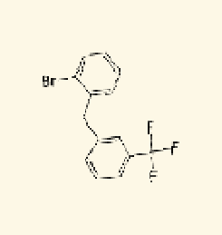 FC(F)(F)c1cccc(Cc2ccccc2Br)c1